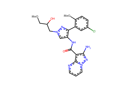 COCC(O)Cn1cc(NC(=O)c2c(N)nn3cccnc23)c(-c2cc(Cl)ccc2OC)n1